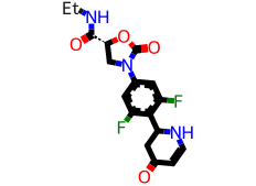 CCNC(=O)[C@H]1CN(c2cc(F)c(C3CC(=O)C=CN3)c(F)c2)C(=O)O1